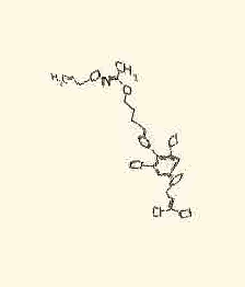 C=CCON=C(C)OCCCCOc1c(Cl)cc(OCC=C(Cl)Cl)cc1Cl